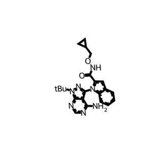 CC(C)(C)n1nc(-n2c(C(=O)NOCC3CC3)cc3ccccc32)c2c(N)ncnc21